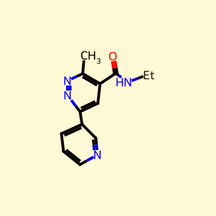 CCNC(=O)c1cc(-c2cccnc2)nnc1C